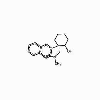 CN(C)C[C@]1(c2ccc3ccccc3c2)CCCC[C@H]1O